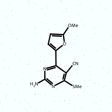 COc1ccc(-c2nc(N)nc(SC)c2C#N)o1